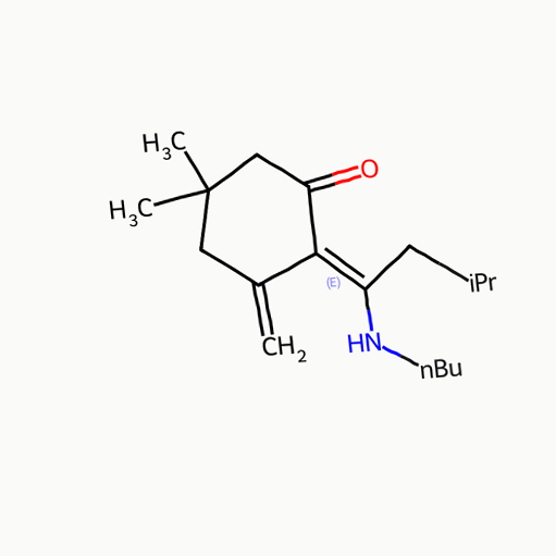 C=C1CC(C)(C)CC(=O)/C1=C(\CC(C)C)NCCCC